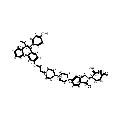 CC/C(=C(\c1ccc(O)cc1)c1ccc(OCCN2CCC(N3CCN(c4ccc5c(c4)CN(C4CCC(=O)NC4=O)C5=O)CC3)CC2)cc1)c1ccccc1